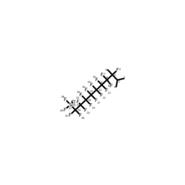 CC(C)C(C)(F)C(F)(F)C(F)(F)C(F)(F)C(F)(F)C(F)(F)C(F)(F)C(F)(F)[Si](F)(F)Cl